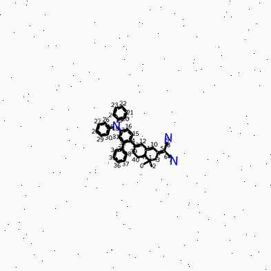 CC1(C)CC(=C(C#N)C#N)C=C2C=C(c3ccc(N(c4ccccc4)c4ccccc4)cc3-c3ccccc3)CCC21